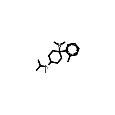 Cc1ccccc1C1(N(C)C)CCC(NC(C)C)CC1